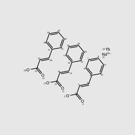 O=C([O-])C=Cc1ccccc1.O=C([O-])C=Cc1ccccc1.O=C([O-])C=Cc1ccccc1.[Nd+3].[Yb]